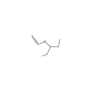 CCC(CC)OC=S